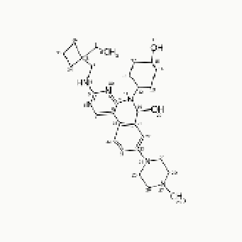 CCC1(CNc2ncc3c(n2)N(C2CCC(O)CC2)C(O)c2cc(N4CCN(C)CC4)ccc2-3)CCC1